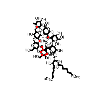 CCCCCCCCCCCCC/C=C/[C@@H](O)[C@H](CO[C@@H]1OC(CO)[C@@H](O[C@@H]2OC(CO)[C@H](O)[C@H](O[C@@H]3OC(CO)[C@@H](O[C@H]4OC(C)[C@@H](O)C(O)[C@@H]4O)[C@H](O[C@@H]4OC(CO)[C@H](O)[C@H](O[C@@H]5OC(CO)[C@@H](O[C@H]6OC(C)[C@@H](O)C(O)[C@@H]6O)[C@H](O[C@@H]6OC(CO)[C@H](O)[C@H](O)C6O)C5NC(C)=O)C4O)C3NC(C)=O)C2O)[C@H](O)C1O)NC(=O)CCCCCCCCCCCCCCC